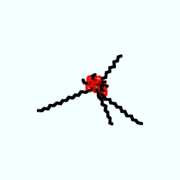 CCCCCCCCCCCCCCCCCCS(CCCCCCCCCCCCCCCCCC)(OC(=O)CC)(OC(=O)CC)(OC(=O)CC)S(CCCCCCCCCCCC)(CCCCCCCCCCCC)C(=O)CC